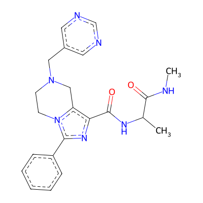 CNC(=O)C(C)NC(=O)c1nc(-c2ccccc2)n2c1CN(Cc1cncnc1)CC2